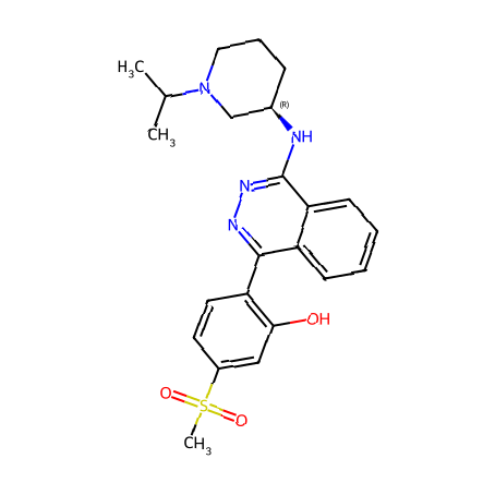 CC(C)N1CCC[C@@H](Nc2nnc(-c3ccc(S(C)(=O)=O)cc3O)c3ccccc23)C1